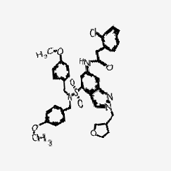 COc1ccc(CN(Cc2ccc(OC)cc2)S(=O)(=O)c2cc(NC(=O)Cc3ccccc3Cl)cc3nn(CC4CCOC4)cc23)cc1